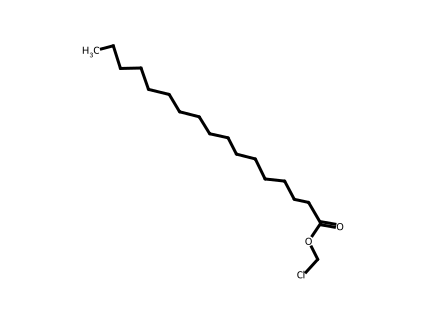 CCCCCCCCCCCCCCCCC(=O)OCCl